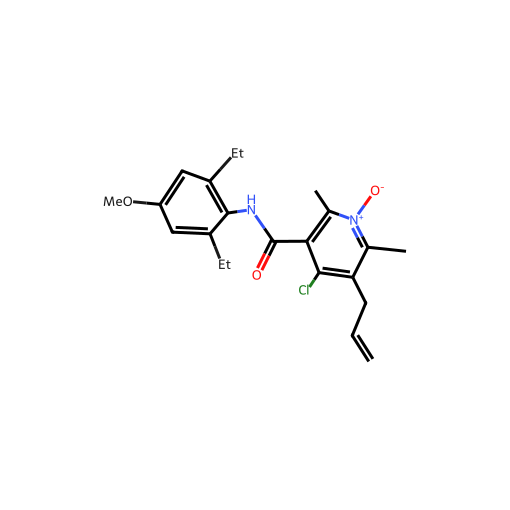 C=CCc1c(Cl)c(C(=O)Nc2c(CC)cc(OC)cc2CC)c(C)[n+]([O-])c1C